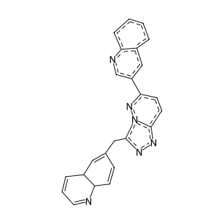 C1=CC2C=C(Cc3nnc4ccc(-c5cnc6ccccc6c5)nn34)C=CC2N=C1